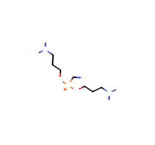 CN(C)CCCOP(=O)(CN)OCCCN(C)C